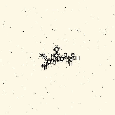 CC(C)(C)[Si](C)(C)OCc1cc(NC(=O)N(Cc2ccc(C(=O)NCC(O)C(=O)O)cc2)c2ccc(C3CCCCC3)cc2)ccc1OC(F)(F)F